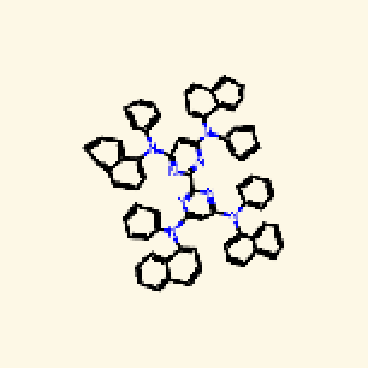 c1ccc(N(c2cc(N(c3ccccc3)c3cccc4ccccc34)nc(-c3nc(N(c4ccccc4)c4cccc5ccccc45)cc(N(c4ccccc4)c4cccc5ccccc45)n3)n2)c2cccc3ccccc23)cc1